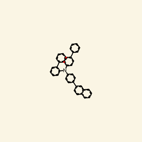 c1ccc(-c2ccc(N(c3ccc(-c4ccc5ccccc5c4)cc3)c3ccccc3-c3ccccc3)cc2)cc1